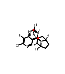 O=C(O)N[C@@H]1C[C@@H]2CC[C@H]([C@H]1F)N2c1nc(Cl)nc2c(F)c(Cl)ncc12